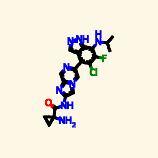 CC(C)Nc1c(F)c(Cl)c(-c2cn3cc(NC(=O)C4(N)CC4)nc3cn2)c2cn[nH]c12